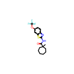 CC1(C(=O)Nc2nc3ccc(OC(F)(F)F)cc3s2)CCCCCC1